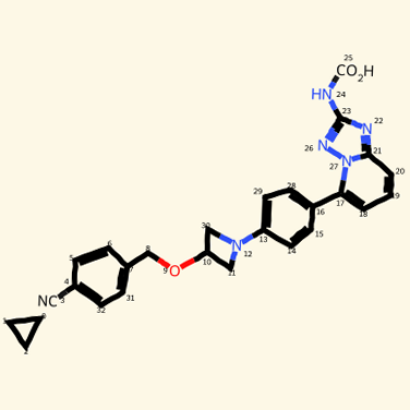 C1CC1.N#Cc1ccc(COC2CN(c3ccc(-c4cccc5nc(NC(=O)O)nn45)cc3)C2)cc1